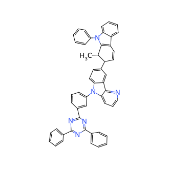 CC1c2c(c3ccccc3n2-c2ccccc2)C=CC1c1ccc2c(c1)c1ncccc1n2-c1cccc(-c2nc(-c3ccccc3)nc(-c3ccccc3)n2)c1